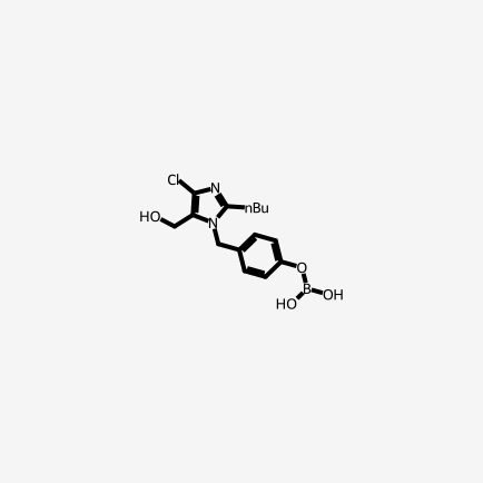 CCCCc1nc(Cl)c(CO)n1Cc1ccc(OB(O)O)cc1